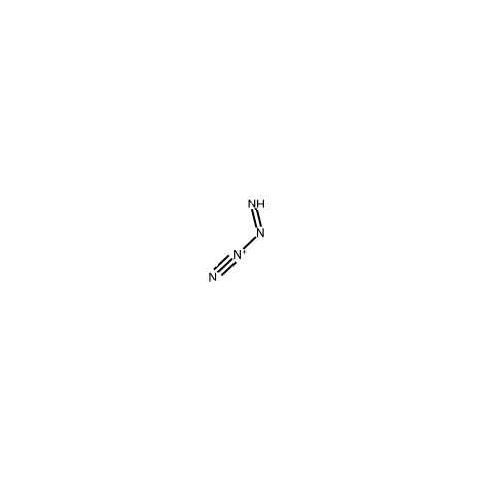 N#[N+]N=N